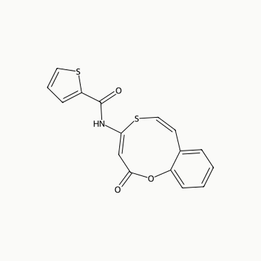 O=C(Nc1cc(=O)oc2ccccc2ccs1)c1cccs1